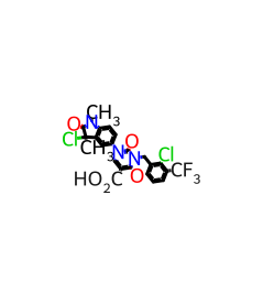 CN1C(=O)C(C)(Cl)c2cc(-n3cc(C(=O)O)c(=O)n(Cc4cccc(C(F)(F)F)c4Cl)c3=O)ccc21